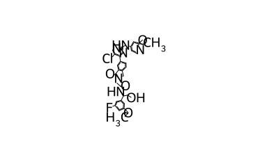 COc1cc(F)cc(C(CO)NC(=O)CN2Cc3ccc(-c4nc(Nc5ccnc(OC)c5)ncc4Cl)cc3C2=O)c1